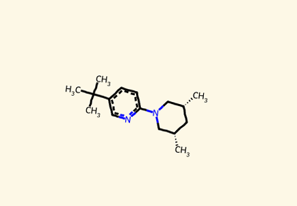 C[C@@H]1C[C@H](C)CN(c2ccc(C(C)(C)C)cn2)C1